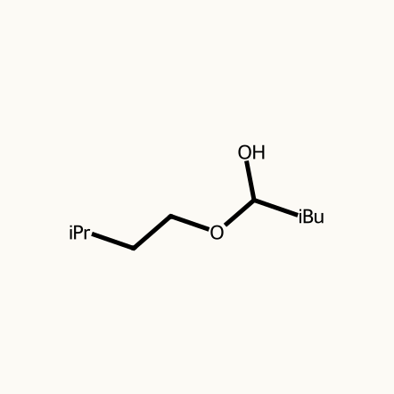 CCC(C)C(O)OCCC(C)C